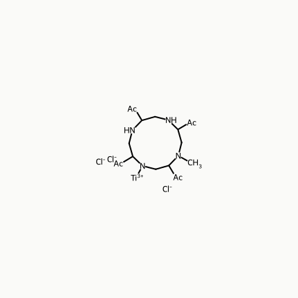 CC(=O)C1CNC(C(C)=O)CN(C)C(C(C)=O)C[N]([Ti+3])C(C(C)=O)CN1.[Cl-].[Cl-].[Cl-]